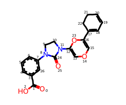 O=C(O)c1cccc(N2CCN(C3=COC=C(C4=CC=CCC4)O3)C2=O)c1